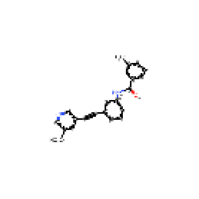 O=C(O)c1cncc(C#Cc2cccc(NC(=O)c3cccc(C(F)(F)F)c3)c2)c1